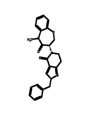 CN1C(=O)[C@@H](N2CCc3nn(Cc4ccccc4)cc3C2=O)COc2ccccc21